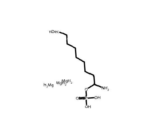 CCCCCCCCCCCCCCCCCC(N)OP(=O)(O)O.[MgH2].[MgH2].[MgH2]